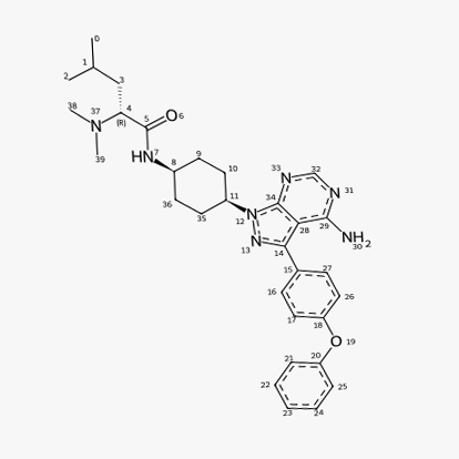 CC(C)C[C@H](C(=O)N[C@H]1CC[C@@H](n2nc(-c3ccc(Oc4ccccc4)cc3)c3c(N)ncnc32)CC1)N(C)C